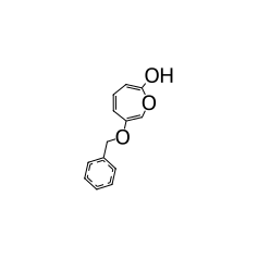 OC1=CC=CC(OCc2ccccc2)=CO1